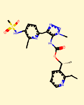 CCc1ncccc1[C@@H](C)OC(=O)Nc1c(-c2ccc(NS(C)(=O)=O)c(C)n2)nnn1C